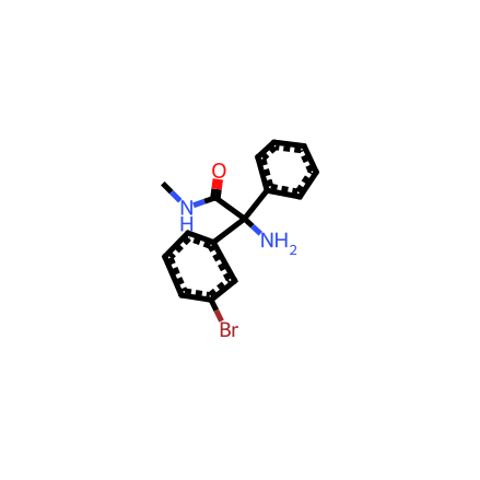 CNC(=O)C(N)(c1ccccc1)c1cccc(Br)c1